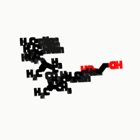 C=C(C)C(=O)O.C=C(C)C(=O)O.CCCCCCCCCC.CCCCCCCCCC.CCCCCCCCCC.CCCCCCCCCC.CCCCCCCCCC.OCCO